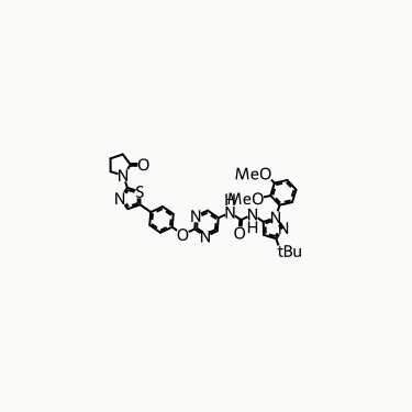 COc1cccc(-n2nc(C(C)(C)C)cc2NC(=O)Nc2cnc(Oc3ccc(-c4cnc(N5CCCC5=O)s4)cc3)nc2)c1OC